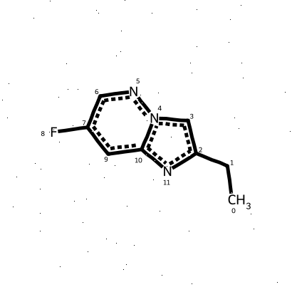 CCc1cn2ncc(F)cc2n1